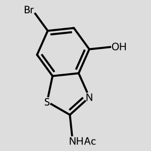 CC(=O)Nc1nc2c(O)cc(Br)cc2s1